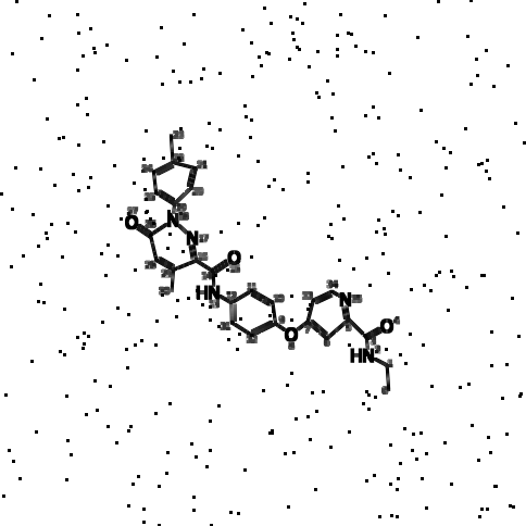 CCNC(=O)c1cc(Oc2ccc(NC(=O)c3nn(-c4ccc(C)cc4)c(=O)cc3C)cc2)ccn1